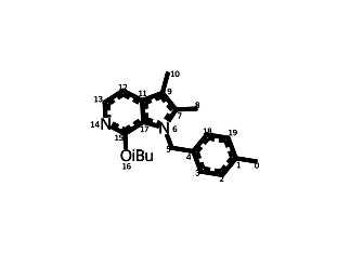 Cc1ccc(Cn2c(C)c(C)c3ccnc(OCC(C)C)c32)cc1